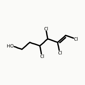 OCCC(Cl)C(Cl)C(Cl)=CCl